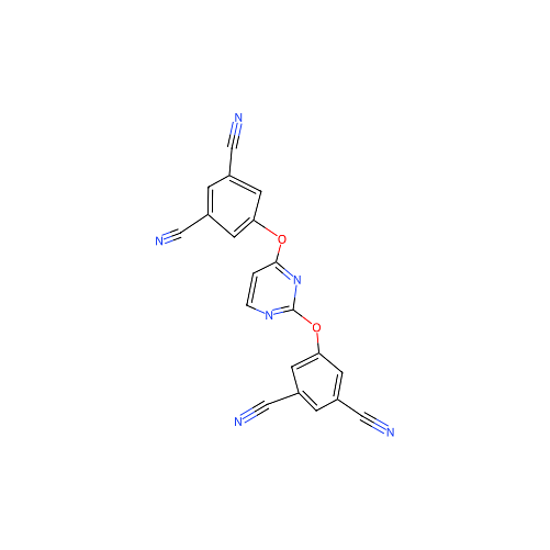 N#Cc1cc(C#N)cc(Oc2ccnc(Oc3cc(C#N)cc(C#N)c3)n2)c1